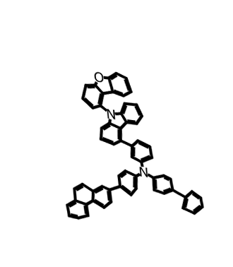 c1ccc(-c2ccc(N(c3ccc(-c4ccc5c(ccc6ccccc65)c4)cc3)c3cccc(-c4cccc5c4c4ccccc4n5-c4cccc5oc6ccccc6c45)c3)cc2)cc1